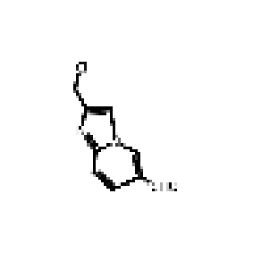 O=Cc1ccc2nc(CCl)cn2c1